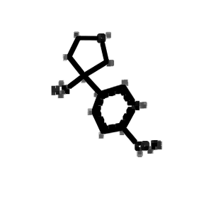 CCOC(=O)c1ccc(C2(N)CCOC2)cn1